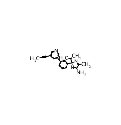 CC#Cc1cncc(-c2cccc(C3(C(C)C)N=C(C)C(N)=N3)c2)c1